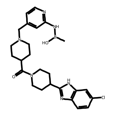 CB(O)Nc1cc(CN2CCC(C(=O)N3CCC(c4nc5ccc(Cl)cc5[nH]4)CC3)CC2)ccn1